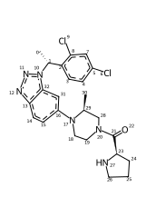 C[C@H](c1ccc(Cl)cc1Cl)n1nnc2ccc(N3CCN(C(=O)[C@H]4CCCN4)C[C@@H]3C)cc21